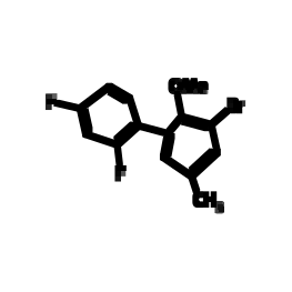 COc1c(Br)cc(C)cc1-c1ccc(F)cc1F